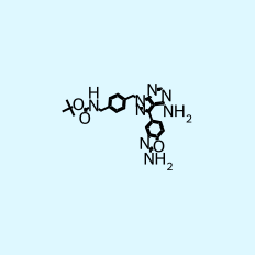 CC(C)(C)OC(=O)NCc1ccc(Cn2nc(-c3ccc4oc(N)nc4c3)c3c(N)ncnc32)cc1